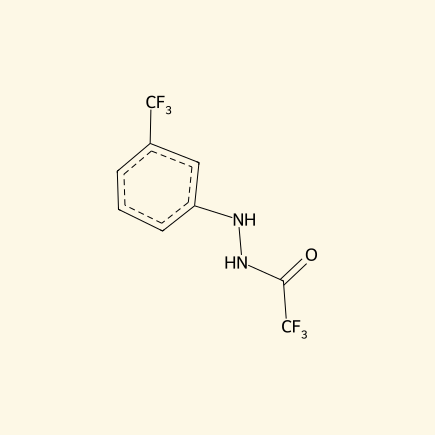 O=C(NNc1cccc(C(F)(F)F)c1)C(F)(F)F